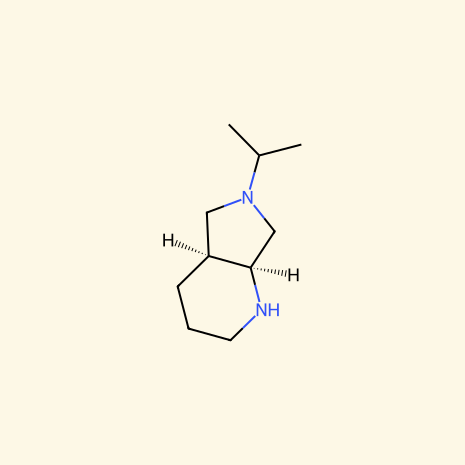 CC(C)N1C[C@@H]2CCCN[C@@H]2C1